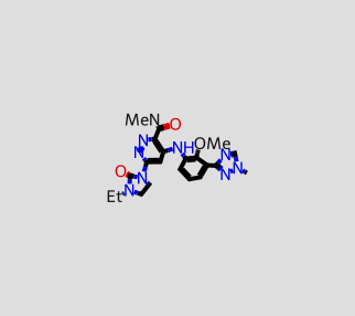 CCN1CCN(c2cc(Nc3cccc(-c4ncn(C)n4)c3OC)c(C(=O)NC)nn2)C1=O